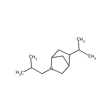 CC(C)CN1CC2CC1CC2C(C)C